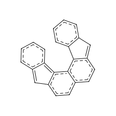 C1=c2ccc3ccc4c(c3c2-c2ccccc21)=c1ccccc1=C4